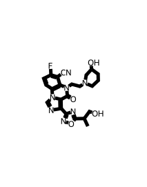 CC(CO)c1nc(-c2ncn3c2c(=O)n(CCN2CCCC(O)C2)c2c(C#N)c(F)ccc23)no1